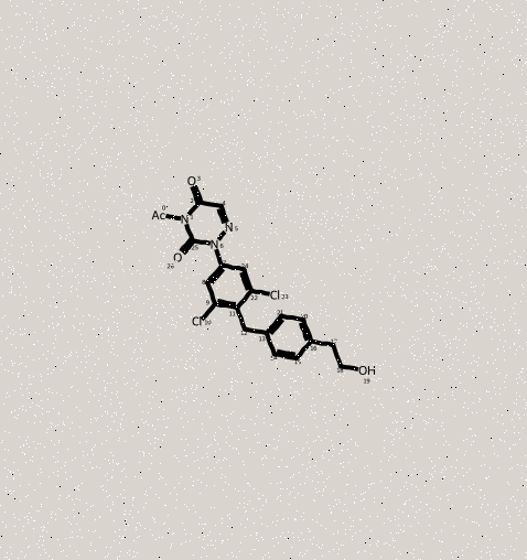 CC(=O)n1c(=O)cnn(-c2cc(Cl)c(Cc3ccc(CCO)cc3)c(Cl)c2)c1=O